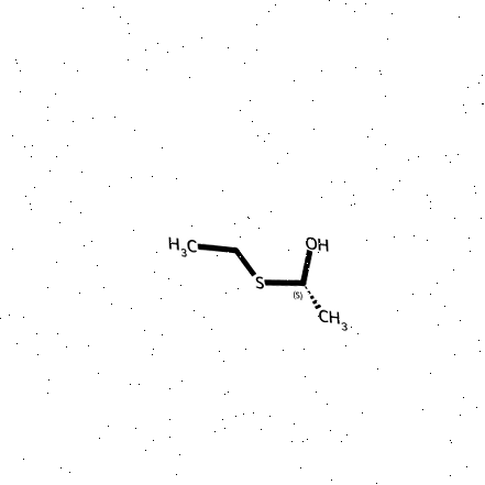 CCS[C@@H](C)O